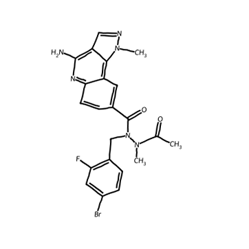 CC(=O)N(C)N(Cc1ccc(Br)cc1F)C(=O)c1ccc2nc(N)c3cnn(C)c3c2c1